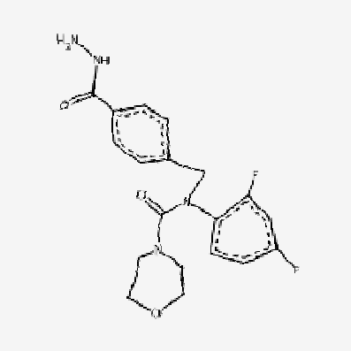 NNC(=O)c1ccc(CN(C(=O)N2CCOCC2)c2ccc(F)cc2F)cc1